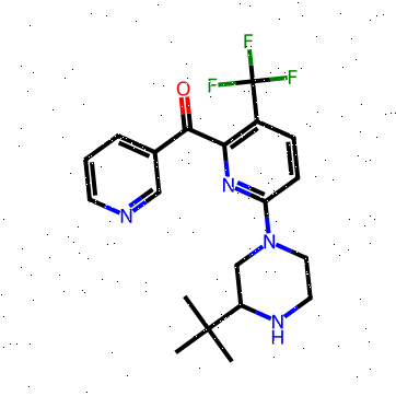 CC(C)(C)C1CN(c2ccc(C(F)(F)F)c(C(=O)c3cccnc3)n2)CCN1